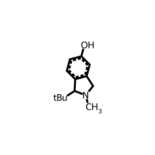 CN1Cc2cc(O)ccc2C1C(C)(C)C